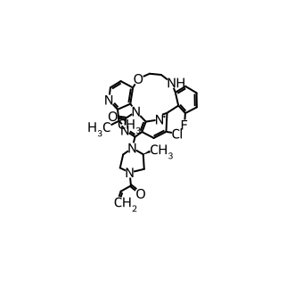 C=CC(=O)N1CCN(c2nc(=O)n3c4nc(c(Cl)cc24)-c2c(F)cccc2NCCOc2ccnc(C(C)C)c2-3)[C@@H](C)C1